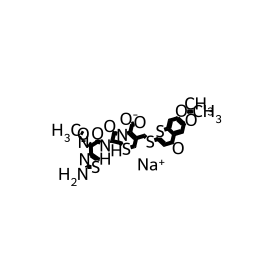 CO/N=C(\C(=O)N[C@@H]1C(=O)N2C(C(=O)[O-])=C(CSc3cc(=O)c4cc5c(cc4s3)OC(C)(C)O5)CS[C@@H]12)c1csc(N)n1.[Na+]